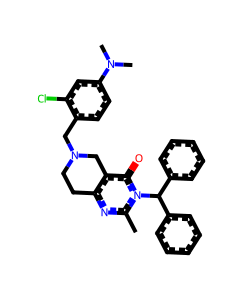 Cc1nc2c(c(=O)n1C(c1ccccc1)c1ccccc1)CN(Cc1ccc(N(C)C)cc1Cl)CC2